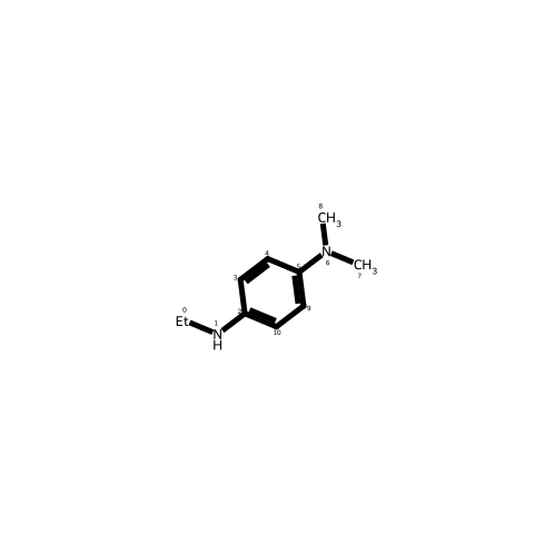 CCNc1ccc(N(C)C)cc1